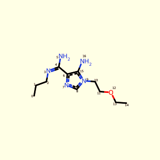 CCC/N=C(/N)c1ncn(CCOCC)c1N